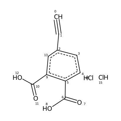 C#Cc1ccc(C(=O)O)c(C(=O)O)c1.Cl.Cl